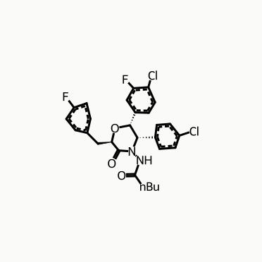 CCCCC(=O)NN1C(=O)[C@@H](Cc2ccc(F)cc2)O[C@H](c2ccc(Cl)c(F)c2)[C@@H]1c1ccc(Cl)cc1